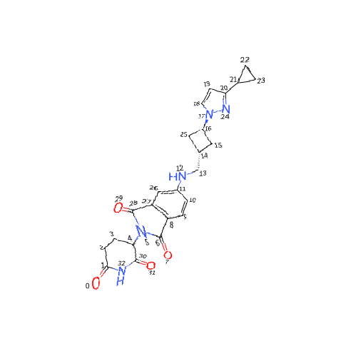 O=C1CCC(N2C(=O)c3ccc(NC[C@H]4C[C@H](n5ccc(C6CC6)n5)C4)cc3C2=O)C(=O)N1